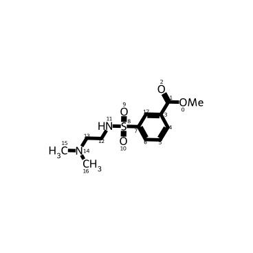 COC(=O)c1cccc(S(=O)(=O)NCCN(C)C)c1